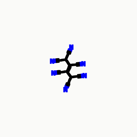 N#CC(=C(C#N)C(C#N)C#N)C(C#N)C#N